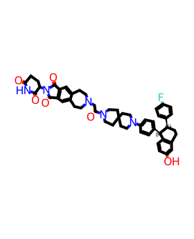 O=C1CCC(N2C(=O)c3cc4c(cc3C2=O)CCN(CC(=O)N2CCC3(CC2)CCN(c2ccc([C@@H]5c6ccc(O)cc6CC[C@@H]5c5ccc(F)cc5)cc2)CC3)CC4)C(=O)N1